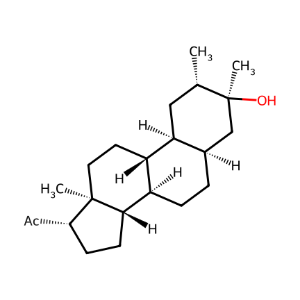 CC(=O)[C@H]1CC[C@H]2[C@@H]3CC[C@@H]4C[C@](C)(O)[C@@H](C)C[C@@H]4[C@H]3CC[C@]12C